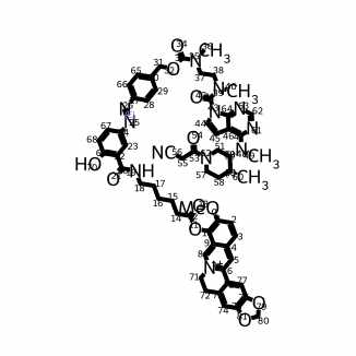 COc1ccc2cc3[n+](cc2c1OC(=O)CCCCCNC(=O)c1cc(/N=N/c2ccc(COC(=O)N(C)CCN(C)C(=O)n4ccc5c(N(C)[C@H]6CN(C(=O)CC#N)CC[C@H]6C)ncnc54)cc2)ccc1O)CCc1cc2c(cc1-3)OCO2